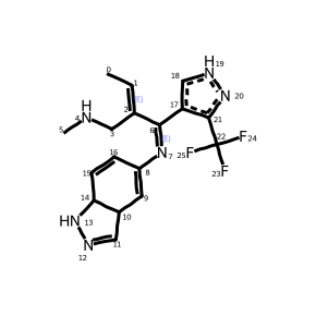 C/C=C(CNC)/C(=N\C1=CC2C=NNC2C=C1)c1c[nH]nc1C(F)(F)F